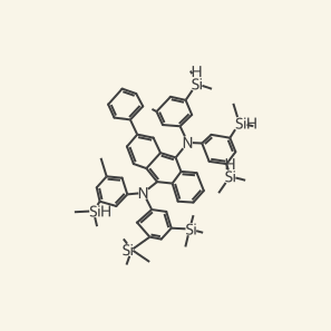 Cc1cc(N(c2cc([Si](C)(C)C)cc([Si](C)(C)C)c2)c2c3ccccc3c(N(c3cc(C)cc([SiH](C)C)c3)c3cc([SiH](C)C)cc([SiH](C)C)c3)c3cc(-c4ccccc4)ccc23)cc([SiH](C)C)c1